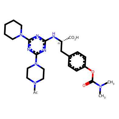 CC(=O)N1CCN(c2nc(N[C@@H](Cc3ccc(OC(=O)N(C)C)cc3)C(=O)O)nc(N3CCCCC3)n2)CC1